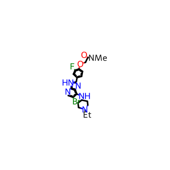 CCN1CCC(Nc2c(Br)cnc3[nH]c(-c4ccc(OCC(=O)NC)c(F)c4)nc23)CC1